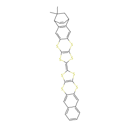 CC1(C)CC2C=CC1c1cc3c(cc12)SC1=C(SC(=C2SC4=C(S2)Sc2cc5ccccc5cc2S4)S1)S3